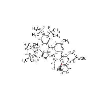 Cc1cc2c3c(c1)N(c1ccc4c(c1)C(C)(C)CCC4(C)C)c1c(sc4cc5c(cc14)C(C)(C)CCC5(C)C)B3c1ccc(C(C)C)cc1N2c1ccc(C(C)(C)C)cc1-c1ccccc1